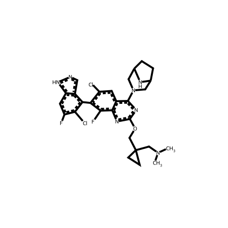 CN(C)CC1(COc2nc(N3CC4CCC(C3)N4)c3cc(Cl)c(-c4c(Cl)c(F)cc5[nH]ncc45)c(F)c3n2)CC1